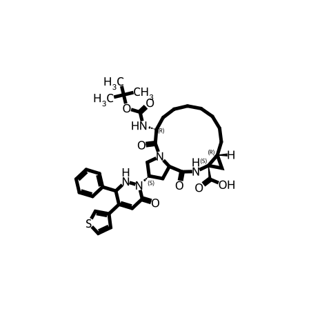 CC(C)(C)OC(=O)N[C@@H]1CCCCCCC[C@@H]2C[C@]2(C(=O)O)NC(=O)C2C[C@H](N3NC(c4ccccc4)C(c4ccsc4)=CC3=O)CN2C1=O